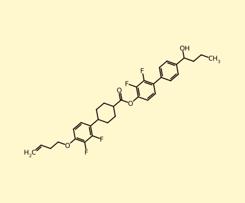 C=CCCOc1ccc(C2CCC(C(=O)Oc3ccc(-c4ccc(C(O)CCC)cc4)c(F)c3F)CC2)c(F)c1F